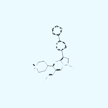 NN1CC(c2ccc(-c3ccccc3)nc2)=C2N=C(C3CCS(=O)(=O)CC3)C(C=NO)=CN21